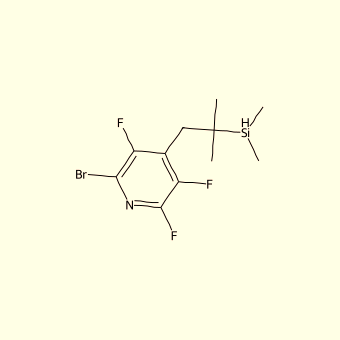 C[SiH](C)C(C)(C)Cc1c(F)c(F)nc(Br)c1F